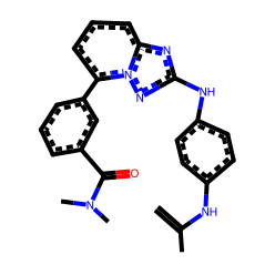 C=C(C)Nc1ccc(Nc2nc3cccc(-c4cccc(C(=O)N(C)C)c4)n3n2)cc1